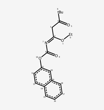 CCO/C(CC(=O)C(C)(C)C)=N\C(=O)Oc1ccc2ccccc2c1